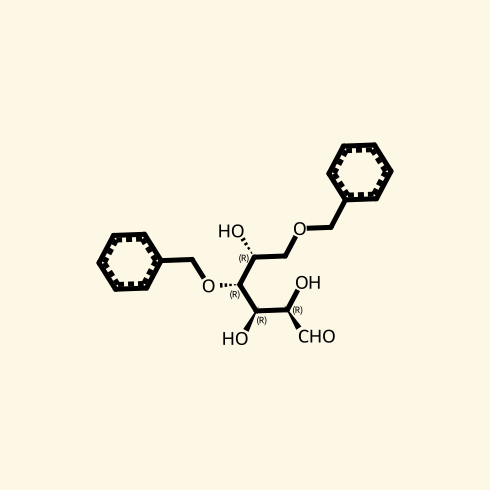 O=C[C@H](O)[C@@H](O)[C@H](OCc1ccccc1)[C@H](O)COCc1ccccc1